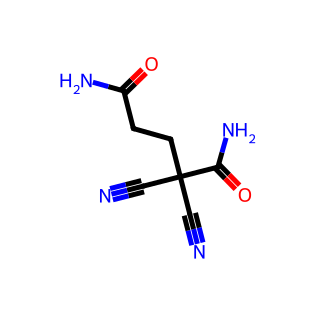 N#CC(C#N)(CCC(N)=O)C(N)=O